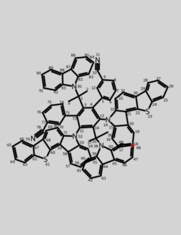 CC(C)(c1c(-c2cccc(C#N)c2)c(-n2c3ccccc3c3c4sc5ccccc5c4ccc32)c(C(C)(C)n2c3ccccc3c3ccccc32)c(-n2c3ccccc3c3c4sc5ccccc5c4ccc32)c1-c1cccc(C#N)c1)n1c2ccccc2c2ccccc21